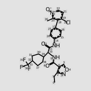 CCc1nocc1C(=O)NC(C(=O)Nc1ccc(-c2c(Cl)cc[n+]([O-])c2C)cc1)C1CCC(C(F)(F)F)CC1